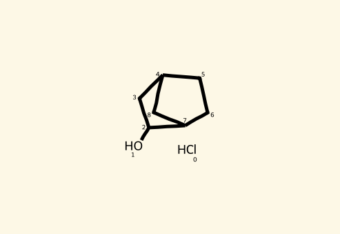 Cl.OC1CC2CCC1C2